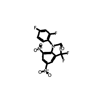 O=CN(c1ccc(F)cc1F)c1c([N+](=O)[O-])cc([N+](=O)[O-])cc1C(F)(F)F